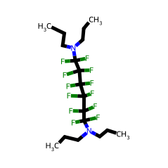 CCCN(CCC)C(F)(F)C(F)(F)C(F)(F)C(F)(F)C(F)(F)C(F)(F)N(CCC)CCC